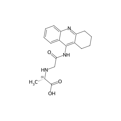 C[C@H](NCC(=O)Nc1c2c(nc3ccccc13)CCCC2)C(=O)O